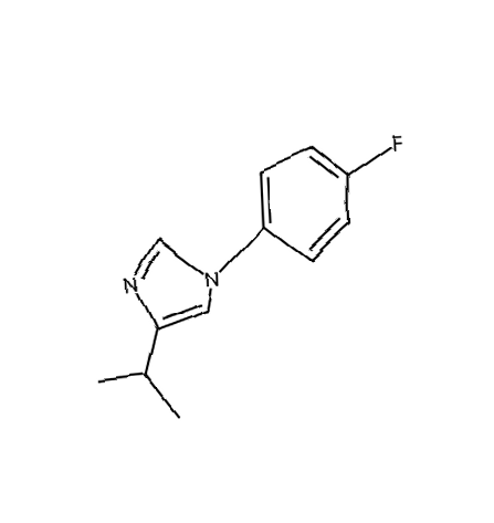 CC(C)c1cn(-c2ccc(F)cc2)cn1